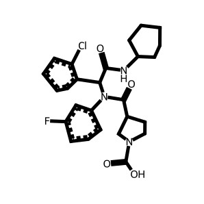 O=C(NC1CCCCC1)C(c1ccccc1Cl)N(C(=O)C1CCN(C(=O)O)C1)c1cccc(F)c1